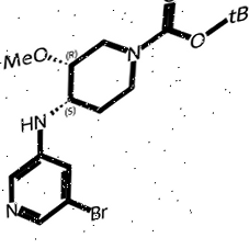 CO[C@@H]1CN(C(=O)OC(C)(C)C)CC[C@@H]1Nc1cncc(Br)c1